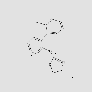 Cc1ccccc1-c1ccccc1OC1=NCCO1